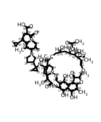 CO[C@H]1/C=C/O[C@@]2(C)Oc3c(C)c(O)c4c(O)c(c(/C=N/N5CCC(N(C)C6(C7CCN(c8c(F)cn9c(=O)c(C(=O)O)cc(C%10CC%10)c9c8C)C7)CC6)CC5)c(O)c4c3C2=O)NC(=O)/C(C)=C\C=C\[C@H](C)CC[C@@H](O)C[C@H](OC(C)=O)[C@@H]1C